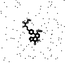 COc1ccc2[nH]c(=O)c3sccc3c2c1-c1ccc(CCN(F)C(=O)OC(C)(C)C)cc1